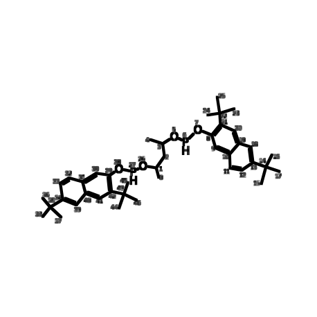 CC(CC(C)OPOc1cc2ccc(C(C)(C)C)cc2cc1C(C)(C)C)OPOc1cc2ccc(C(C)(C)C)cc2cc1C(C)(C)C